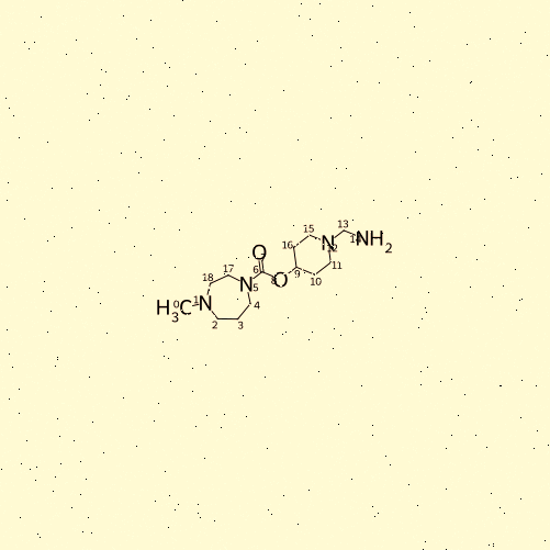 CN1CCCN(C(=O)OC2CCN(CN)CC2)CC1